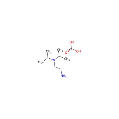 CC(C)N(CCN)C(C)C.O=C(O)O